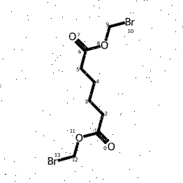 O=C(CCCCC(=O)OCBr)OCBr